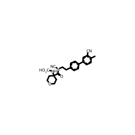 Cc1ccc(-c2ccc(CCN(C#N)C(=O)C3(NC(=O)O)CCOCC3)cc2)cc1C#N